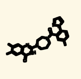 Cc1ccc(-n2cccn2)c(C(=O)N2CCCN(c3nc4cc(C)c(C)cc4c(=O)[nH]3)CC2)c1